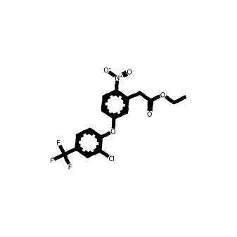 CCOC(=O)Cc1cc(Oc2ccc(C(F)(F)F)cc2Cl)ccc1[N+](=O)[O-]